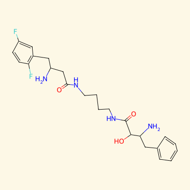 NC(CC(=O)NCCCCNC(=O)C(O)C(N)Cc1ccccc1)Cc1cc(F)ccc1F